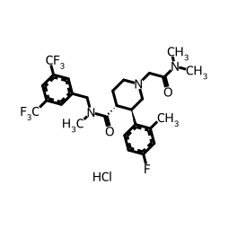 Cc1cc(F)ccc1[C@@H]1CN(CC(=O)N(C)C)CC[C@H]1C(=O)N(C)Cc1cc(C(F)(F)F)cc(C(F)(F)F)c1.Cl